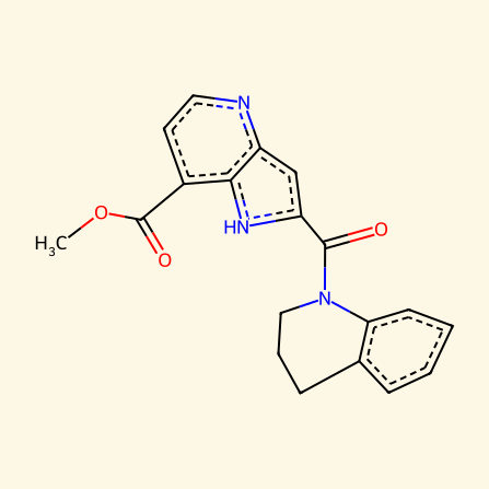 COC(=O)c1ccnc2cc(C(=O)N3CCCc4ccccc43)[nH]c12